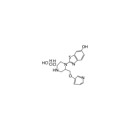 Cl.Cl.Cl.Oc1ccc2nc(N3CCNCC3COc3cccnc3)sc2c1